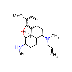 C=CCN(C)C1Cc2ccc(OC)c3c2[C@@]2(CC)C1CCC(NCCC)C2O3